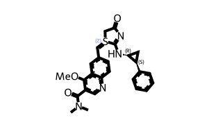 COc1c(C(=O)N(C)C)cnc2ccc(/C=S3/CC(=O)N=C3N[C@@H]3C[C@H]3c3ccccc3)cc12